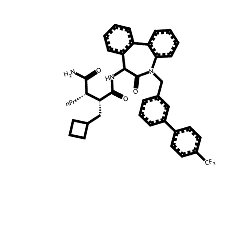 CCC[C@H](C(N)=O)[C@@H](CC1CCC1)C(=O)NC1C(=O)N(Cc2cccc(-c3ccc(C(F)(F)F)cc3)c2)c2ccccc2-c2ccccc21